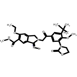 CCOc1cc2c(cc1C(=O)NC)/C(=N/Br)N(CC(=O)c1cc(N3CCOC3=O)c(OC)c(C(C)(C)C)c1)C2